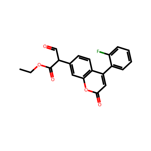 CCOC(=O)C(C=O)c1ccc2c(-c3ccccc3F)cc(=O)oc2c1